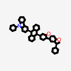 c1ccc(-c2coc3cc4oc5cc(-c6c7ccccc7c(-c7ccc8c(c7)c7ccccc7n8-c7ccccc7)c7ccccc67)ccc5c4cc23)cc1